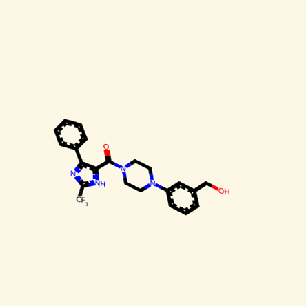 O=C(c1[nH]c(C(F)(F)F)nc1-c1ccccc1)N1CCN(c2cccc(CO)c2)CC1